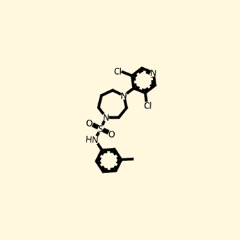 Cc1cccc(NS(=O)(=O)N2CCCN(c3c(Cl)cncc3Cl)CC2)c1